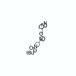 CC(C)(C)OC(=O)N1CCC(c2cccc(OCc3cccn4nccc34)n2)CC1